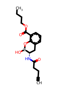 C#CCCC(=O)N[C@H]1Cc2cccc(C(=O)OCCCC)c2OB1O